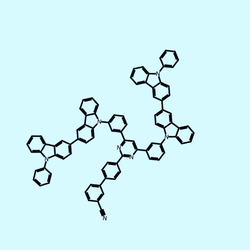 N#Cc1cccc(-c2ccc(-c3nc(-c4cccc(-n5c6ccccc6c6cc(-c7ccc8c(c7)c7ccccc7n8-c7ccccc7)ccc65)c4)cc(-c4cccc(-n5c6ccccc6c6cc(-c7ccc8c(c7)c7ccccc7n8-c7ccccc7)ccc65)c4)n3)cc2)c1